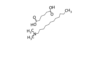 CCCCCCCCCCCCN(C)C.O=C(O)CCCCC(=O)O